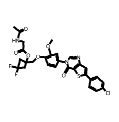 COc1cc(-n2cnc3cc(-c4ccc(Cl)cc4)sc3c2=O)ccc1OCC1(OC(=O)CNC(C)=O)CC(F)(F)C1